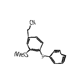 COc1cc(CC#N)ccc1Sc1ccccc1